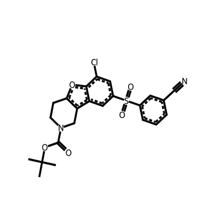 CC(C)(C)OC(=O)N1CCc2oc3c(Cl)cc(S(=O)(=O)c4cccc(C#N)c4)cc3c2C1